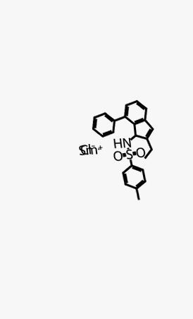 CCC1=Cc2cccc(-c3ccccc3)c2C1NS(=O)(=O)c1ccc(C)cc1.[Cl-].[Sm+]